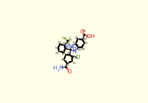 NC(=O)c1ccc(C2(c3ccccc3C(F)(F)F)Nc3ccc(C(=O)O)cc3N2)c(Cl)c1